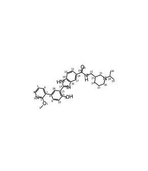 COc1ncccc1-c1ccc(O)c(-c2nc3cc(C(=O)NCC4CCCN(C(C)C)C4)ccc3[nH]2)c1